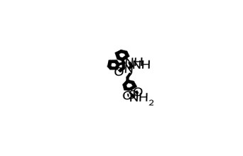 N=C1NC(c2ccccc2)(c2ccccc2)C(=O)N1CCc1ccc(S(N)(=O)=O)cc1